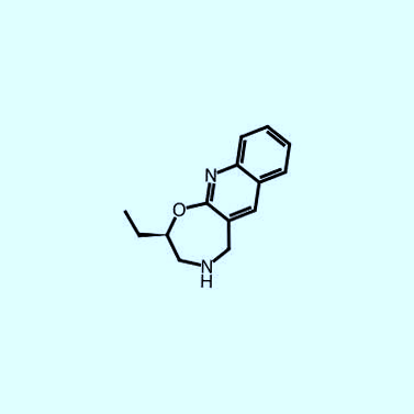 CC[C@@H]1CNCc2cc3ccccc3nc2O1